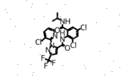 CC(C)NC(=O)c1cc(Cl)cc(Cl)c1NC(=O)c1cc(C(F)(F)F)nn1-c1ncccc1Cl